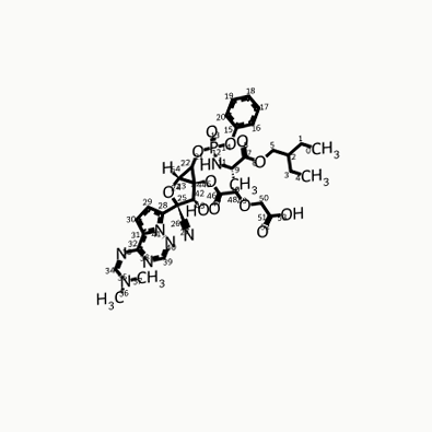 CCC(CC)COC(=O)[C@H](C)N[P@@](=O)(Oc1ccccc1)OC1[C@H]2O[C@@](C#N)(c3ccc4c(/N=C\N(C)C)ncnn34)[C@H](O)[C@@]12OC(=O)COCC(=O)O